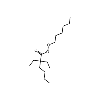 CCCCCCOOC(=O)C(CC)(CC)CCCC